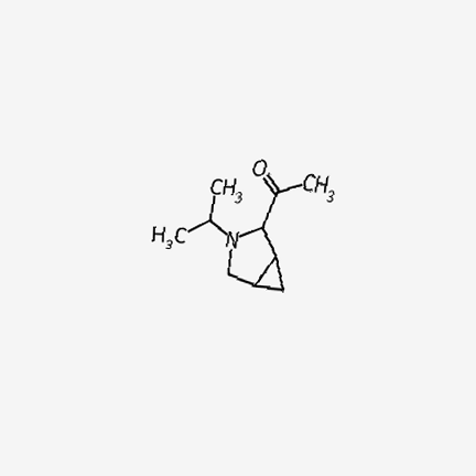 CC(=O)C1C2CC2CN1C(C)C